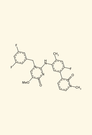 COc1cn(Cc2cc(F)cc(F)c2)c(Nc2cc(-c3cccn(C)c3=O)c(F)cc2C)nc1=O